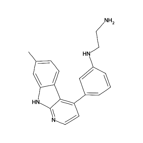 Cc1ccc2c(c1)[nH]c1nccc(-c3cccc(NCCN)c3)c12